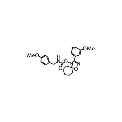 COc1ccc(CNC(=O)ON2C(c3cccc(OC)c3)=NOC23CCCCC3)cc1